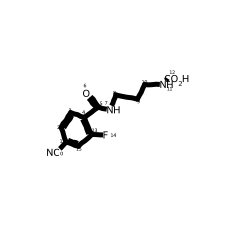 N#Cc1ccc(C(=O)NCCCNC(=O)O)c(F)c1